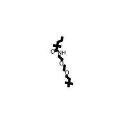 CCCC(C)(C)C(=O)NCCOCCOCCC(C)(C)C